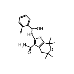 CC1(C)Cc2c(sc(NC(O)c3ccccc3F)c2C(N)=O)C(C)(C)O1